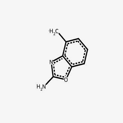 [CH2]c1cccc2oc(N)nc12